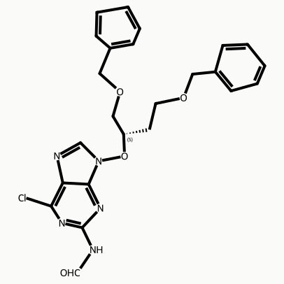 O=CNc1nc(Cl)c2ncn(O[C@@H](CCOCc3ccccc3)COCc3ccccc3)c2n1